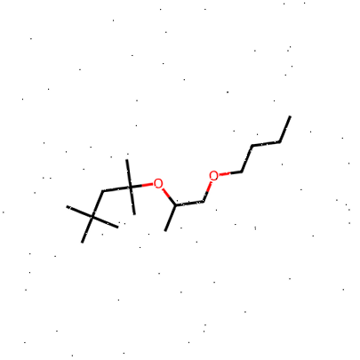 CCCCOCC(C)OC(C)(C)CC(C)(C)C